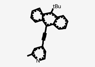 Cc1cc(C#Cc2c3ccccc3c(C(C)(C)C)c3ccccc23)ccn1